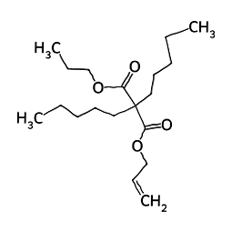 C=CCOC(=O)C(CCCCC)(CCCCC)C(=O)OCCC